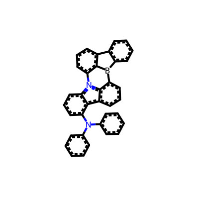 c1ccc(N(c2ccccc2)c2cccc3c2c2cccc4c2n3-c2cccc3c2B4c2ccccc2-3)cc1